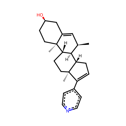 C[C@@H]1C=C2C[C@H](O)CC[C@]2(C)[C@H]2CC[C@]3(C)C(c4ccncc4)=CC[C@H]3[C@H]12